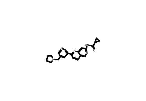 O=C(Nc1cc2nc(-c3cncc(CN4CCCC4)c3)ccc2cn1)C1CC1